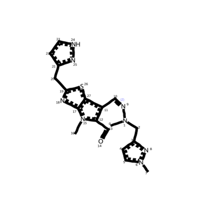 CN(Cc1ccn(C)n1)/N=C\c1c(C=O)n(C)c2nc(Cc3cc[nH]n3)sc12